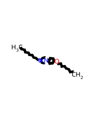 C=CCCCCCCCOc1ccc(N2CCN(CCCCCCCCCC)CC2)cc1